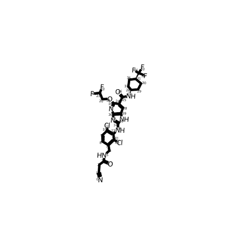 N#CCC(=O)NCc1ccc(Cl)c(Nc2nc3nc(OCC(F)F)c(C(=O)N[C@H]4CC[C@H](C(F)(F)F)CC4)cc3[nH]2)c1Cl